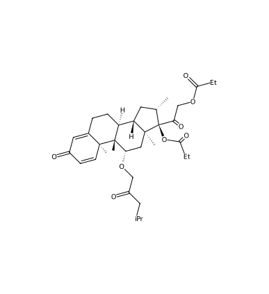 CCC(=O)OCC(=O)[C@@]1(OC(=O)CC)[C@@H](C)C[C@H]2[C@@H]3CCC4=CC(=O)C=C[C@]4(C)[C@@]3(C)[C@@H](OCC(=O)CC(C)C)C[C@@]21C